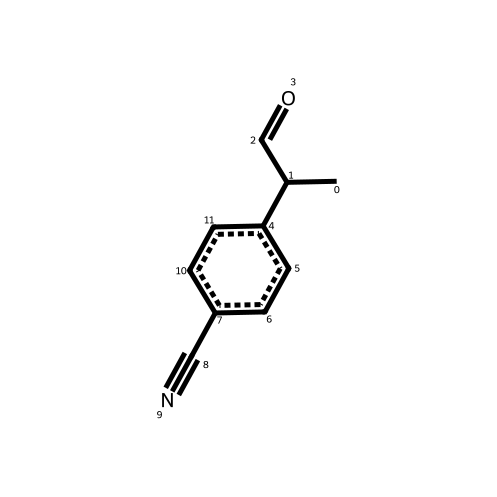 CC(C=O)c1ccc(C#N)cc1